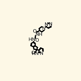 O=C(CNC(=O)C1CCN(c2ccncn2)CC1)Nc1ccc2c(c1)CC1(C2)C(=O)Nc2ncccc21